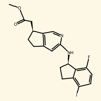 COC(=O)C[C@@H]1CCc2cc(N[C@@H]3CCc4c(I)ccc(F)c43)ncc21